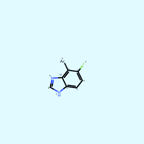 CC(=O)c1c(F)ccc2[nH]cnc12